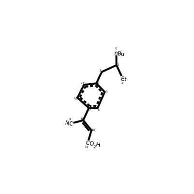 CCCCC(CC)Cc1ccc(C(C#N)=CC(=O)O)cc1